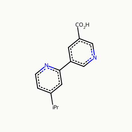 CC(C)c1ccnc(-c2cncc(C(=O)O)c2)c1